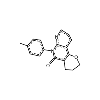 Cc1ccc(-n2c(=O)c3c(c4cccnc42)OCCC3)cc1